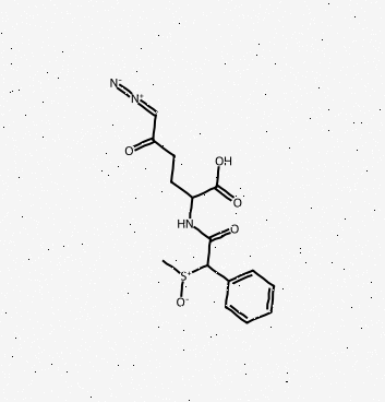 C[S+]([O-])C(C(=O)NC(CCC(=O)C=[N+]=[N-])C(=O)O)c1ccccc1